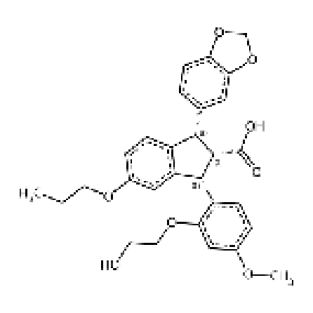 CCCOc1ccc2c(c1)[C@@H](c1ccc(OC)cc1OCCO)[C@@H](C(=O)O)[C@H]2c1ccc2c(c1)OCO2